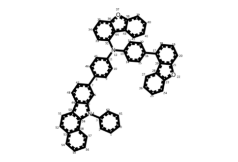 c1ccc(-n2c3cc(-c4ccc(N(c5ccc(-c6cccc7oc8ccccc8c67)cc5)c5cccc6oc7ccccc7c56)cc4)ccc3c3ccc4ccccc4c32)cc1